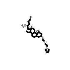 CC(C)CCC[C@@H](C)[C@H]1CCC2C3CCC4CC(OCOCCn5ccnc5)CC[C@]4(C)C3CC[C@@]21C